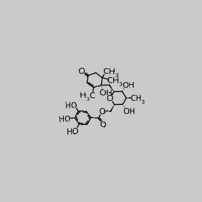 CC1=CC(=O)CC(C)(C)[C@@]1(O)C[C@@H]1O[C@H](COC(=O)c2cc(O)c(O)c(O)c2)[C@@H](O)[C@H](C)[C@H]1O